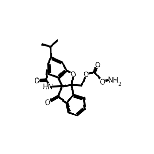 CC(=O)NC12C(=O)c3ccccc3C1(COC(=O)ON)Oc1cc(C(C)C)ccc12